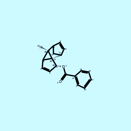 O=C(O[C@@H]1C=CC2[C@H]3C4C=CC(C4)[C@]231)c1ccccc1